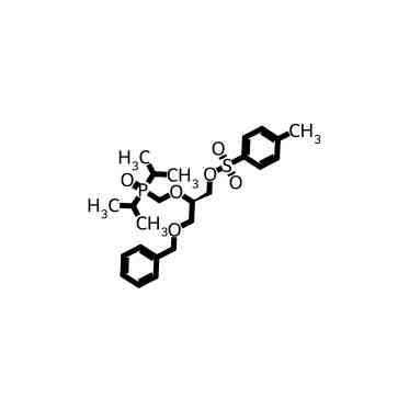 Cc1ccc(S(=O)(=O)OC[C@@H](COCc2ccccc2)OCP(=O)(C(C)C)C(C)C)cc1